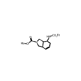 CCOC(=O)NC1CC=CC2CN(C(=O)OC(C)(C)C)CC21